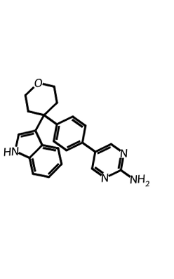 Nc1ncc(-c2ccc(C3(c4c[nH]c5ccccc45)CCOCC3)cc2)cn1